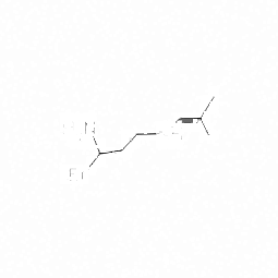 CCC(N)CCNC=C(C)C